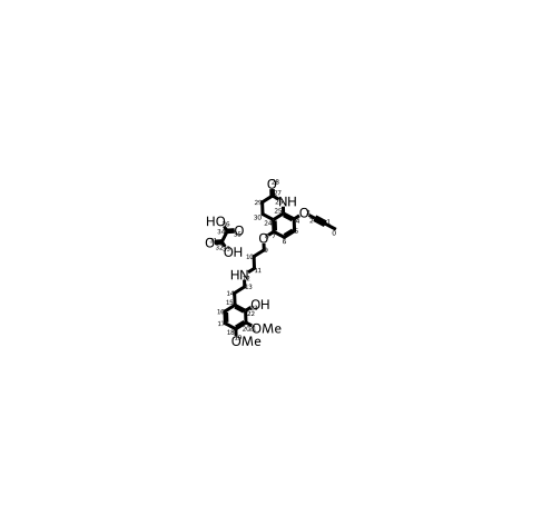 CC#COc1ccc(OCCCNCCc2ccc(OC)c(OC)c2O)c2c1NC(=O)CC2.O=C(O)C(=O)O